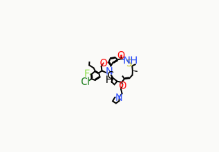 CCCc1c(C2COc3ccc4cc3N(C2)C[C@@H]2CCC2C(OCCN2CCCC2)/C(C)=C/C[C@H](C)C(C)SNC4=O)ccc(Cl)c1F